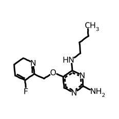 CCCCNc1nc(N)ncc1OCC1=NCCC=C1F